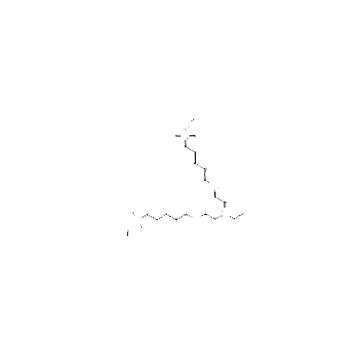 CCN(CCOCCCCC[Si](C)(C)OC)CCOCCCCC[Si](C)(C)OC